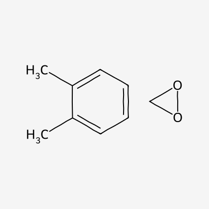 C1OO1.Cc1ccccc1C